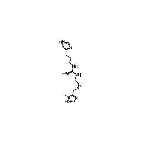 Cc1[nH]cnc1CS[C@@H](C)CNC(=N)NCCCc1c[nH]cn1